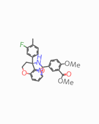 COC(=O)c1cc(C(=O)N[C@]2(c3ccc(C)c(F)c3)CCOc3cccnc32)ccc1OC